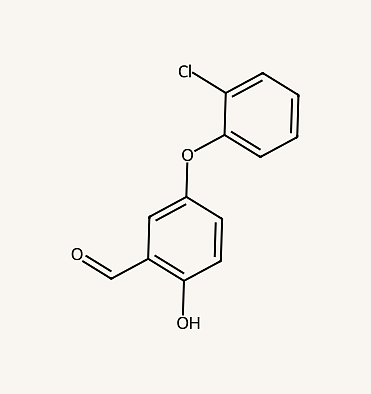 O=Cc1cc(Oc2ccccc2Cl)ccc1O